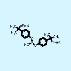 CCCCCC(C)(C)c1ccc(OP(O)Oc2ccc(C(C)(C)CCCCC)cc2)cc1